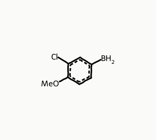 Bc1ccc(OC)c(Cl)c1